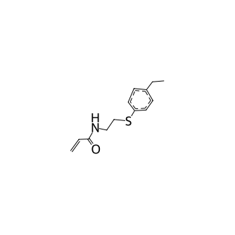 C=CC(=O)NCCSc1ccc(CC)cc1